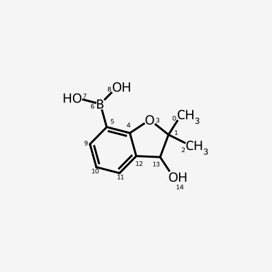 CC1(C)Oc2c(B(O)O)cccc2C1O